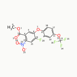 COC(=O)c1cc(Oc2ccc(OC(F)(F)F)cc2)c(F)cc1[N+](=O)[O-]